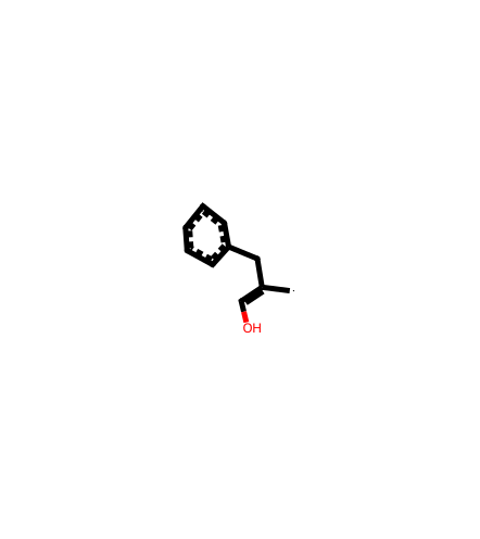 [CH2]C(=CO)Cc1ccccc1